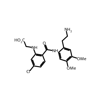 COc1ccc(CCN)cc1OC.NC(=O)c1ccc(Cl)cc1NCC(=O)O